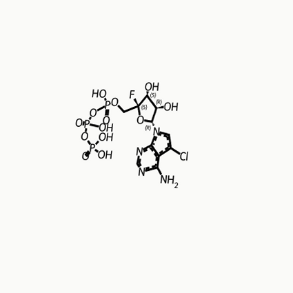 Nc1ncnc2c1c(Cl)cn2[C@@H]1O[C@](F)(COP(=O)(O)OP(=O)(O)OP(=O)(O)O)[C@@H](O)[C@H]1O